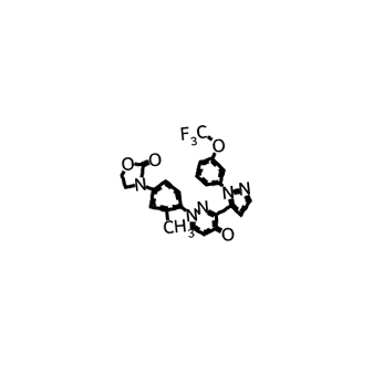 Cc1cc(N2CCOC2=O)ccc1-n1ccc(=O)c(-c2ccnn2-c2cccc(OC(F)(F)F)c2)n1